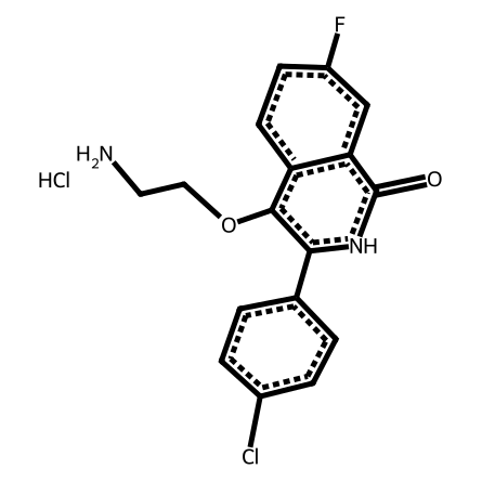 Cl.NCCOc1c(-c2ccc(Cl)cc2)[nH]c(=O)c2cc(F)ccc12